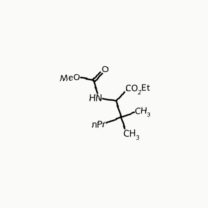 CCCC(C)(C)C(NC(=O)OC)C(=O)OCC